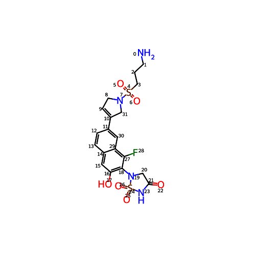 NCCCS(=O)(=O)N1CC=C(c2ccc3cc(O)c(N4CC(=O)NS4(=O)=O)c(F)c3c2)C1